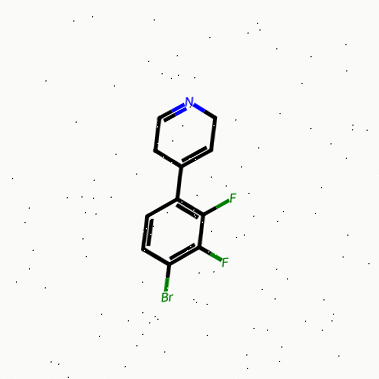 Fc1c(Br)ccc(C2=CCN=CC2)c1F